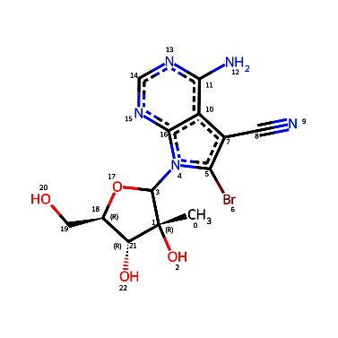 C[C@]1(O)C(n2c(Br)c(C#N)c3c(N)ncnc32)O[C@H](CO)[C@H]1O